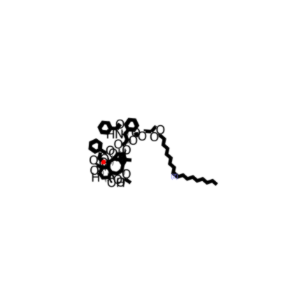 CCCCCCCC/C=C\CCCCCCCC1OCC(COC(=O)O[C@H](C(=O)O[C@H]2C[C@@]3(O)[C@@H](OC(=O)c4ccccc4)[C@H]4[C@]5(OC(C)=O)CO[C@H]5C[C@H](O)[C@@]4(C)C(=O)[C@H](OC(C)=O)C(=C2C)C3(C)C)[C@@H](NC(=O)c2ccccc2)c2ccccc2)O1